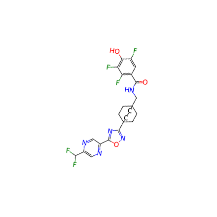 O=C(NCC12CCC(c3noc(-c4cnc(C(F)F)cn4)n3)(CC1)CC2)c1cc(F)c(O)c(F)c1F